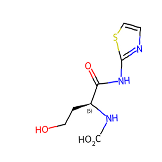 O=C(O)N[C@@H](CCO)C(=O)Nc1nccs1